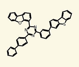 c1ccc(-c2ccc(-c3nc(-c4cccc(-c5ccc6c(c5)sc5ccccc56)c4)nc(-c4cccc5c4oc4ccccc45)n3)cc2)cc1